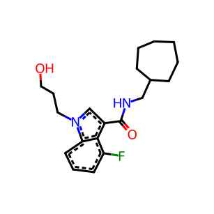 O=C(NCC1CCCCCC1)c1cn(CCCO)c2cccc(F)c12